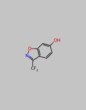 Oc1ccc2c(C(F)(F)F)noc2c1